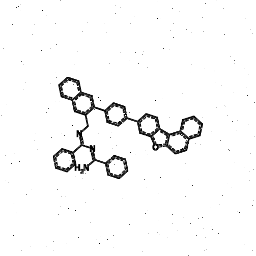 N/C(=N\C(=N/Cc1cc2ccccc2cc1-c1ccc(-c2ccc3c(c2)oc2ccc4ccccc4c23)cc1)c1ccccc1)c1ccccc1